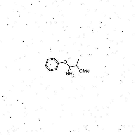 COC(C)C(N)Oc1ccccc1